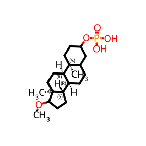 COC1CC[C@H]2[C@@H]3CCC4CC(OP(=O)(O)O)CC[C@]4(C)[C@@H]3CC[C@]12C